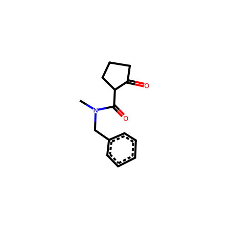 CN(Cc1ccccc1)C(=O)C1CCCC1=O